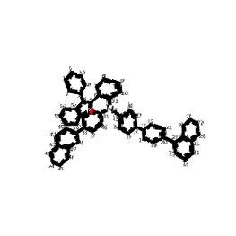 c1ccc(-c2c(-c3ccccc3N(c3ccc(-c4ccc(-c5cccc6ccccc56)cc4)cc3)c3ccc(-c4ccc5ccccc5c4)cc3)oc3ccccc23)cc1